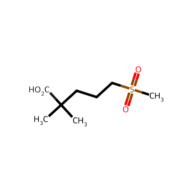 CC(C)(CCCS(C)(=O)=O)C(=O)O